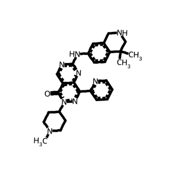 CN1CCC(n2nc(-c3ccccn3)c3nc(Nc4ccc5c(c4)CNCC5(C)C)ncc3c2=O)CC1